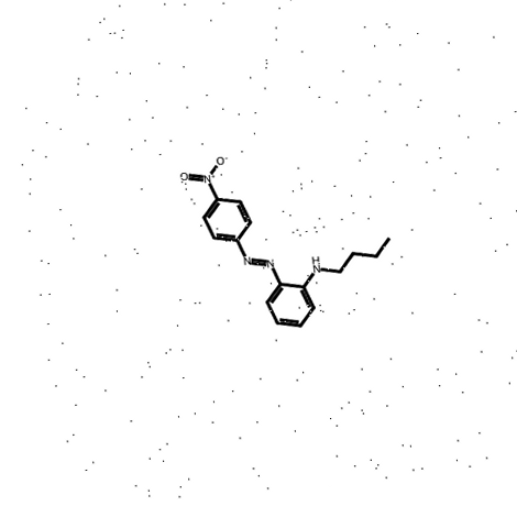 CCCCNc1ccccc1N=Nc1ccc([N+](=O)[O-])cc1